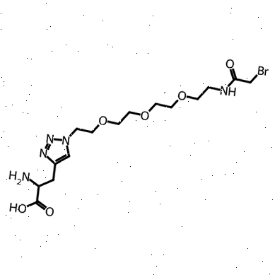 NC(Cc1cn(CCOCCOCCOCCNC(=O)CBr)nn1)C(=O)O